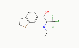 CCNC(C(O)c1ccc2c(c1)SCC2)C(F)(F)F